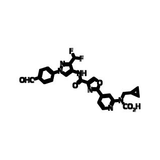 O=Cc1ccc(-n2cc(NC(=O)c3coc(-c4ccnc(N(CC5CC5)C(=O)O)c4)n3)c(C(F)F)n2)cc1